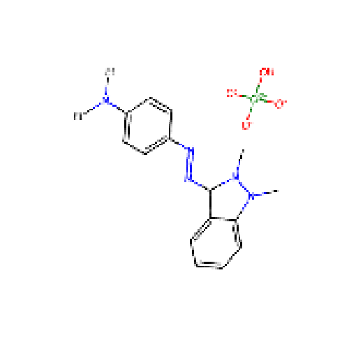 CCN(CC)c1ccc(N=NC2c3ccccc3N(C)N2C)cc1.[O-][Cl+3]([O-])([O-])O